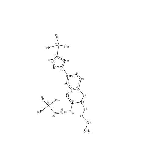 COCCN(Cc1ccc(-c2noc(C(F)(F)F)n2)cc1)C(=O)C=C=CC(F)(F)F